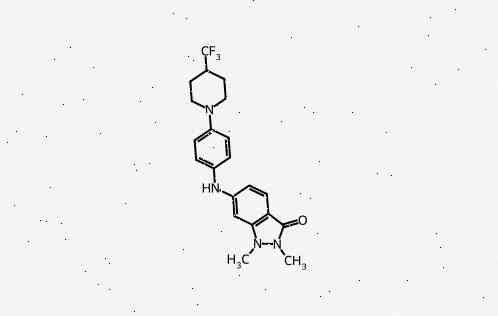 Cn1c(=O)c2ccc(Nc3ccc(N4CCC(C(F)(F)F)CC4)cc3)cc2n1C